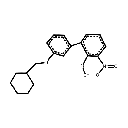 COc1c(-c2cccc(OCC3CCCCC3)c2)cccc1[N+](=O)[O-]